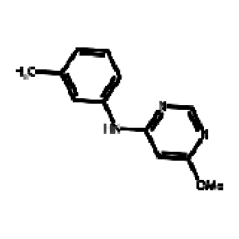 COc1cc(Nc2cccc(C)c2)ncn1